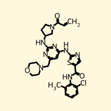 C=CC(=O)N1CCC(Nc2nc(CN3CCOCC3)cc(Nc3ncc(C(=O)Nc4c(C)cccc4Cl)s3)n2)C1